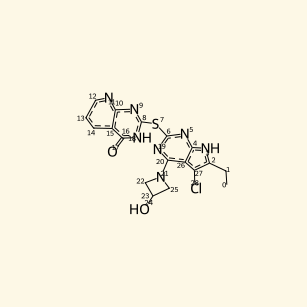 CCc1[nH]c2nc(Sc3nc4ncccc4c(=O)[nH]3)nc(N3CC(O)C3)c2c1Cl